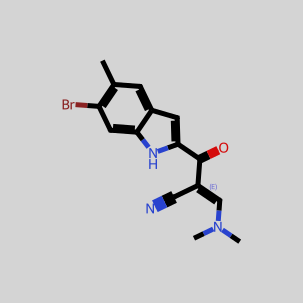 Cc1cc2cc(C(=O)/C(C#N)=C/N(C)C)[nH]c2cc1Br